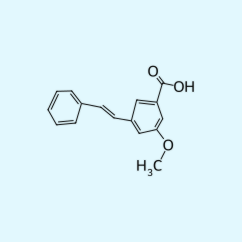 COc1cc(C=Cc2ccccc2)cc(C(=O)O)c1